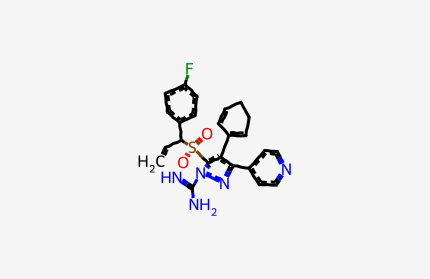 C=CC(c1ccc(F)cc1)S(=O)(=O)c1c(C2=CCCC=C2)c(-c2ccncc2)nn1C(=N)N